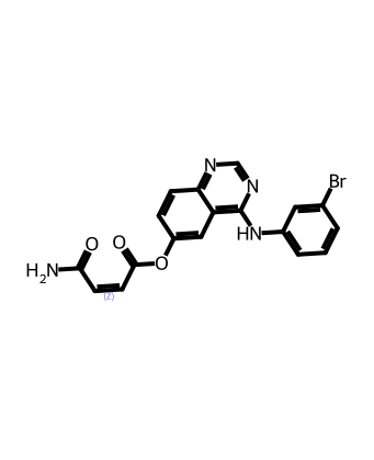 NC(=O)/C=C\C(=O)Oc1ccc2ncnc(Nc3cccc(Br)c3)c2c1